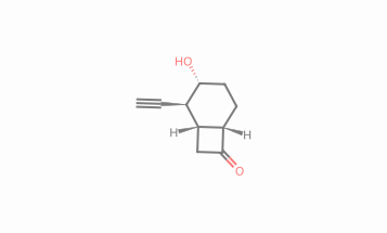 C#C[C@@H]1[C@H]2CC(=O)[C@H]2CC[C@H]1O